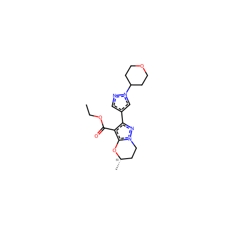 CCOC(=O)c1c(-c2cnn(C3CCOCC3)c2)nn2c1O[C@@H](C)CC2